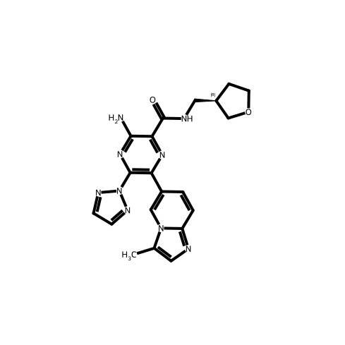 Cc1cnc2ccc(-c3nc(C(=O)NC[C@H]4CCOC4)c(N)nc3-n3nccn3)cn12